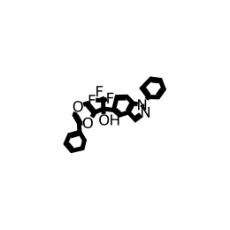 OC(C1=COC=C(C2=CC=CCC2)O1)(c1ccc2c(cnn2-c2ccccc2)c1)C(F)(F)F